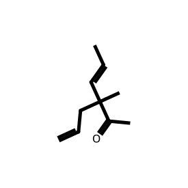 C=CCC(C)(/C=C/C)C(C)=O